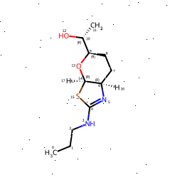 CCCNC1=N[C@@H]2CC[C@H]([C@@H](C)O)O[C@@H]2S1